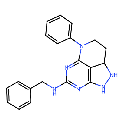 c1ccc(CNc2nc3c4c(n2)N(c2ccccc2)CCC4NN3)cc1